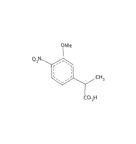 COc1cc(C(C)C(=O)O)ccc1[N+](=O)[O-]